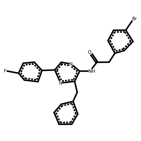 O=C(Cc1ccc(Br)cc1)Nc1ncc(-c2ccc(F)cc2)nc1Cc1ccccc1